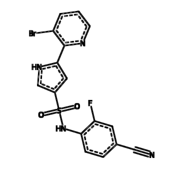 N#Cc1ccc(NS(=O)(=O)c2c[nH]c(-c3ncccc3Br)c2)c(F)c1